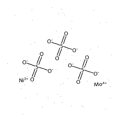 O=S(=O)([O-])[O-].O=S(=O)([O-])[O-].O=S(=O)([O-])[O-].[Mo+4].[Ni+2]